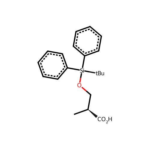 C[C@@H](CO[Si](c1ccccc1)(c1ccccc1)C(C)(C)C)C(=O)O